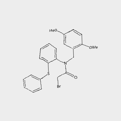 COc1ccc(OC)c(CN(C(=O)CBr)c2ccccc2Sc2ccccc2)c1